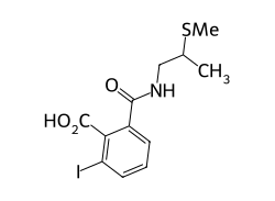 CSC(C)CNC(=O)c1cccc(I)c1C(=O)O